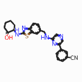 N#Cc1cccc(-c2cncc(NCc3ccc4nc(NC5CCCC[C@H]5O)sc4c3)n2)c1